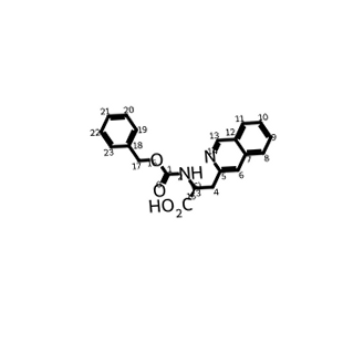 O=C(N[C@@H](Cc1cc2ccccc2cn1)C(=O)O)OCc1ccccc1